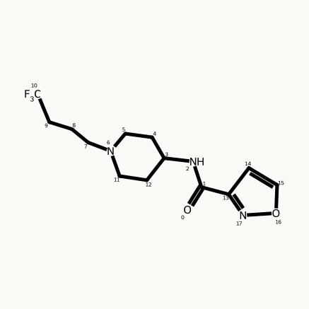 O=C(NC1CCN(CCCC(F)(F)F)CC1)c1ccon1